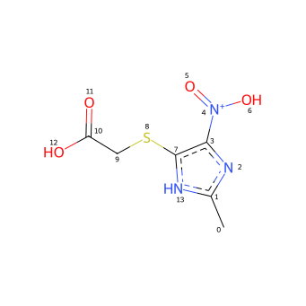 Cc1nc([N+](=O)O)c(SCC(=O)O)[nH]1